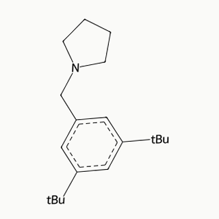 CC(C)(C)c1cc(CN2CCCC2)cc(C(C)(C)C)c1